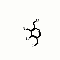 CCc1c(CCl)ccc(CCl)c1CC